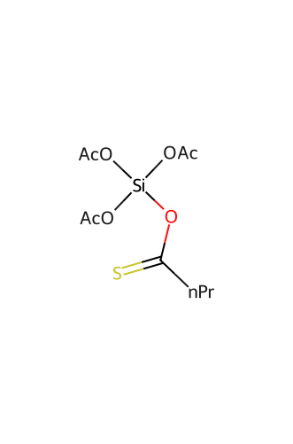 CCCC(=S)O[Si](OC(C)=O)(OC(C)=O)OC(C)=O